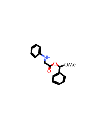 COC(OC(=O)CNc1ccccc1)c1ccccc1